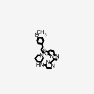 COc1ccc(CCC(=O)N2CCCC(Nc3ccnc(-c4cnc5ccc(F)cn45)n3)C2)cc1